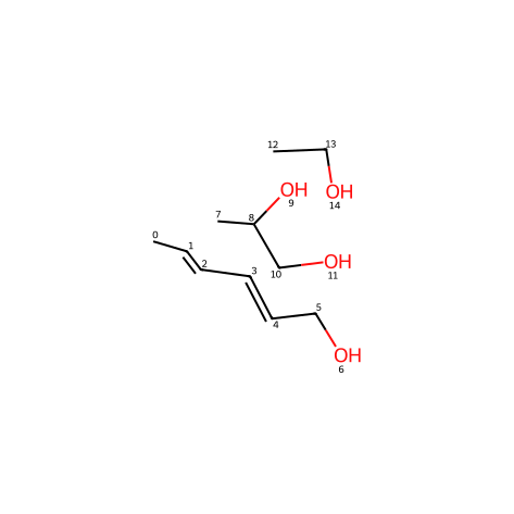 C/C=C/C=C/CO.CC(O)CO.CCO